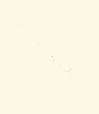 CCCCCCCCCCCCCCCCCCOC(=O)CC(C)O